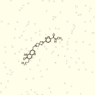 CCc1cc2ncc(CN3CC4(C3)CN(c3ccc(C(=O)NC)nn3)C4)cc2[nH]c1=O